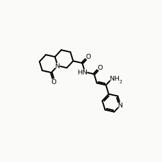 NC(=CC(=O)NC(=O)C1CCC2CCCC(=O)N2C1)c1cccnc1